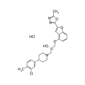 Cc1nnc(-c2cc3c(OC[C@@H](O)CN4CCC(c5ccc(C)c(Cl)c5)CC4)cccc3o2)o1.Cl